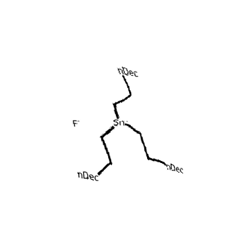 CCCCCCCCCCC[CH2][Sn+]([CH2]CCCCCCCCCCC)[CH2]CCCCCCCCCCC.[F-]